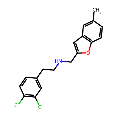 Cc1ccc2oc(CNCCc3ccc(Cl)c(Cl)c3)cc2c1